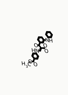 COC(=O)c1ccc(NC=C2C(=O)Oc3c(Nc4ccccc4)cccc3C2=O)cc1